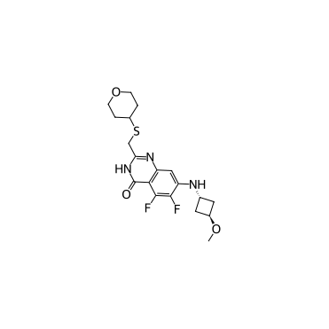 CO[C@H]1C[C@H](Nc2cc3nc(CSC4CCOCC4)[nH]c(=O)c3c(F)c2F)C1